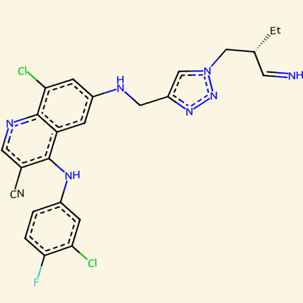 CC[C@H](C=N)Cn1cc(CNc2cc(Cl)c3ncc(C#N)c(Nc4ccc(F)c(Cl)c4)c3c2)nn1